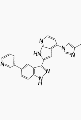 Cc1cn(-c2ccnc3[nH]c(-c4n[nH]c5ccc(-c6cccnc6)cc45)cc23)cn1